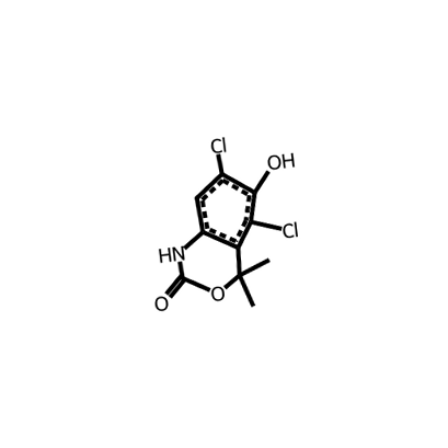 CC1(C)OC(=O)Nc2cc(Cl)c(O)c(Cl)c21